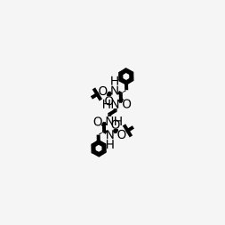 CC(C)(C)OC(=O)N[C@H](Cc1ccccc1)C(=O)NCCNC(=O)[C@@H](Cc1ccccc1)NC(=O)OC(C)(C)C